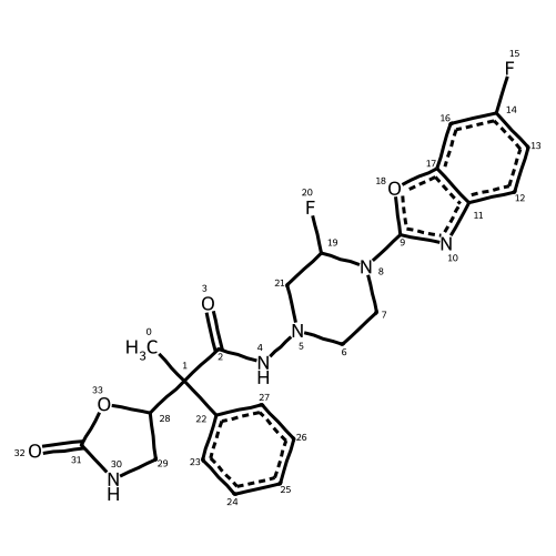 CC(C(=O)NN1CCN(c2nc3ccc(F)cc3o2)C(F)C1)(c1ccccc1)C1CNC(=O)O1